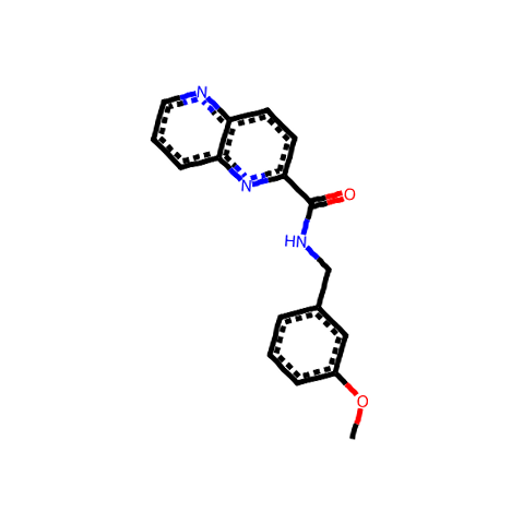 COc1cccc(CNC(=O)c2ccc3ncccc3n2)c1